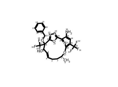 C[C@@H]1CC/C=C/C(O)C(OCc2ccccc2)(C(F)(F)F)c2nnc(o2)-c2nc(c(C(F)(F)F)cc2N)O1